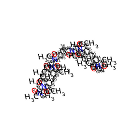 CC(=O)N(C)C1CC(=O)N(c2c(C(C)C)cc(Cc3cc(C(C)C)c(N4C(=O)CC(N(CC5CC6C7CC(CN(C(C)=O)C8CC(=O)N(c9c(C(C)C)cc(Cc%10cc(C(C)C)c(N%11C(=O)C=CC%11=O)c(C(C)C)c%10)cc9C(C)C)C8=O)C(C7)C6C5)C(C)=O)C4=O)c(C(C)C)c3)cc2C(C)C)C1=O